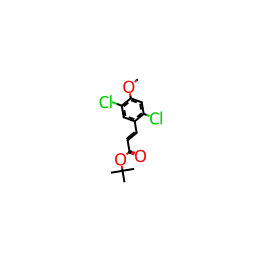 COc1cc(Cl)c(C=CC(=O)OC(C)(C)C)cc1Cl